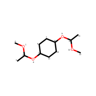 COC(C)OC1CCC(OC(C)OC)CC1